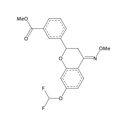 CON=C1CC(c2cccc(C(=O)OC)c2)Oc2cc(OC(F)F)ccc21